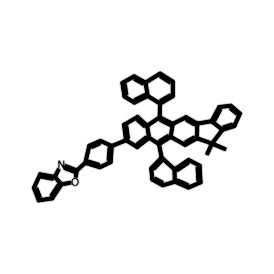 CC1(C)c2ccccc2-c2cc3c(-c4cccc5ccccc45)c4ccc(-c5ccc(-c6nc7ccccc7o6)cc5)cc4c(-c4cccc5ccccc45)c3cc21